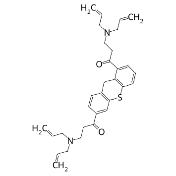 C=CCN(CC=C)CCC(=O)c1ccc2c(c1)Sc1cccc(C(=O)CCN(CC=C)CC=C)c1C2